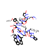 C1CO1.CC(=O)Nc1ccc2c(c1)Cc1ccccc1-2.CSCC[C@H](NC(=O)[C@H](Cc1c[nH]c2ccccc12)NC(=O)CNC(=O)[C@@H](NC(=O)[C@H](Cc1ccc(OS(=O)(=O)O)cc1)NC(=O)[C@H](CC(=O)O)NC(=O)[C@H](CCC(N)=O)NC(=O)[C@@H]1CCC(=O)N1)[C@@H](C)O)C(=O)N[C@@H](CC(=O)O)C(=O)N[C@@H](Cc1ccccc1)C(N)=O